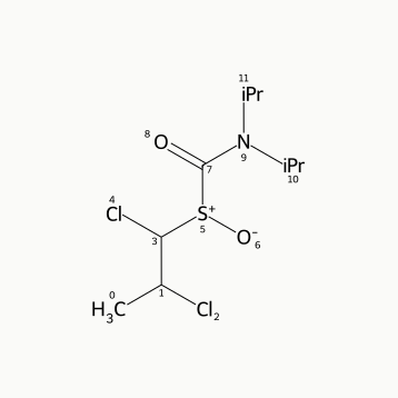 CC(Cl)C(Cl)[S+]([O-])C(=O)N(C(C)C)C(C)C